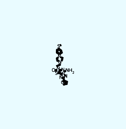 CSc1ccc(N2CCN(CCn3c(=O)sc4c3nc(N)n3nc(-c5ccco5)nc43)CC2)cc1